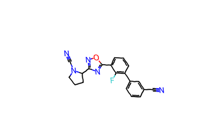 N#Cc1cccc(-c2cccc(-c3nc(C4CCCN4C#N)no3)c2F)c1